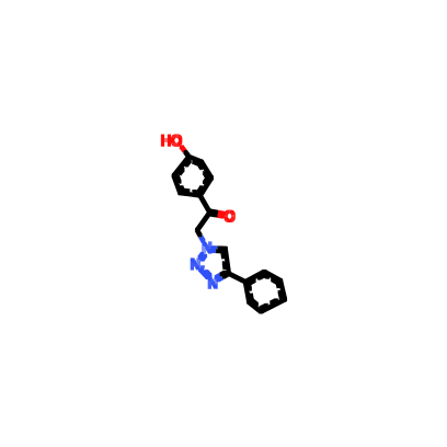 O=C(Cn1cc(-c2ccccc2)nn1)c1ccc(O)cc1